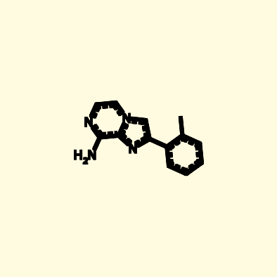 Cc1ccccc1-c1cn2ccnc(N)c2n1